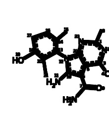 Cc1nc(Cl)c2c(C(N)=O)c(N)n(-c3c(C)ccc(O)c3C)c2n1